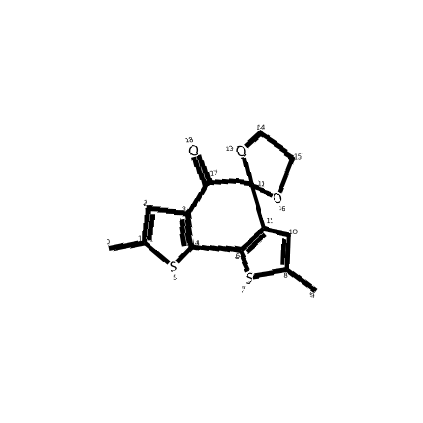 Cc1cc2c(s1)-c1sc(C)cc1C1(OCCO1)C2=O